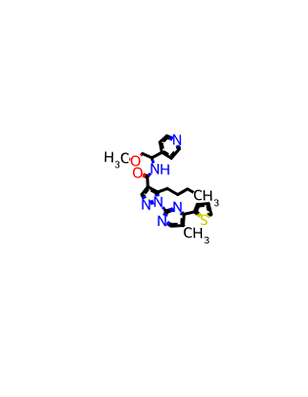 CCCCc1c(C(=O)NC(COC)c2ccncc2)cnn1-c1ncc(C)c(-c2cccs2)n1